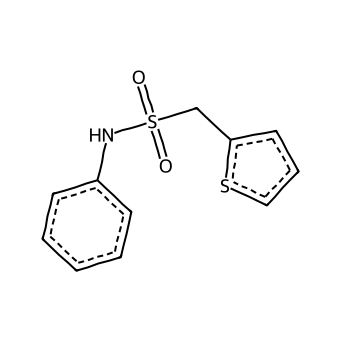 O=S(=O)(Cc1cccs1)Nc1ccccc1